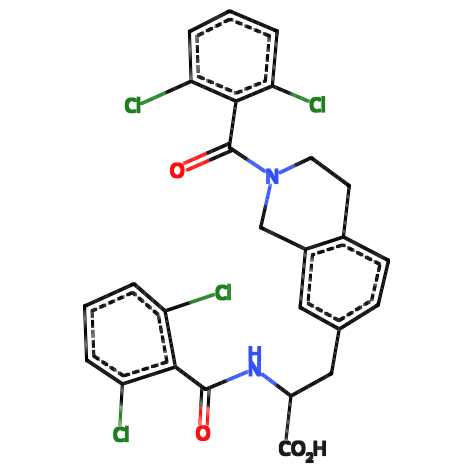 O=C(NC(Cc1ccc2c(c1)CN(C(=O)c1c(Cl)cccc1Cl)CC2)C(=O)O)c1c(Cl)cccc1Cl